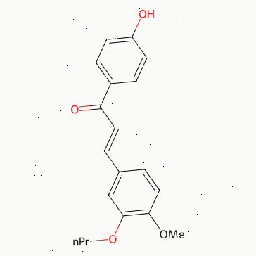 CCCOc1cc(C=CC(=O)c2ccc(O)cc2)ccc1OC